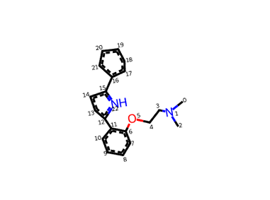 CN(C)CCOc1ccccc1-c1ccc(-c2ccccc2)[nH]1